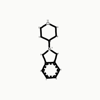 c1ccc2c(c1)CN(C1CCOCC1)C2